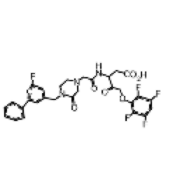 O=C(O)CC(NC(=O)CN1CCN(Cc2cc(F)cc(-c3ccccc3)c2)C(=O)C1)C(=O)COc1c(F)c(F)cc(F)c1F